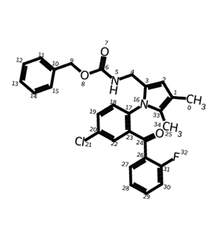 Cc1cc(CNC(=O)OCc2ccccc2)n(-c2ccc(Cl)cc2C(=O)c2ccccc2F)c1C